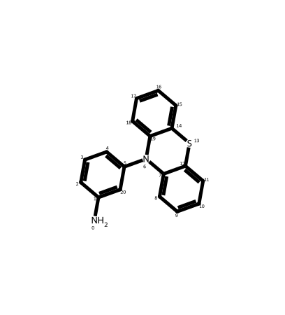 Nc1cccc(N2c3ccccc3Sc3ccccc32)c1